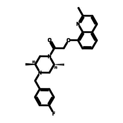 Cc1ccc2cccc(OCC(=O)N3C[C@H](C)N(Cc4ccc(F)cc4)C[C@H]3C)c2n1